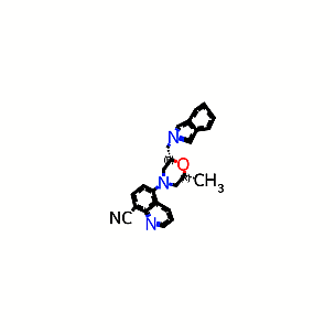 C[C@@H]1CN(c2ccc(C#N)c3ncccc23)C[C@H](Cn2cc3ccccc3c2)O1